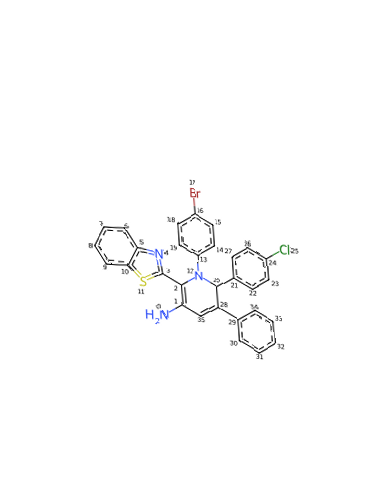 NC1=C(c2nc3ccccc3s2)N(c2ccc(Br)cc2)C(c2ccc(Cl)cc2)C(c2ccccc2)=C1